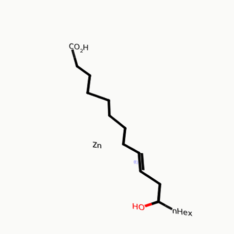 CCCCCCC(O)C/C=C/CCCCCCCC(=O)O.[Zn]